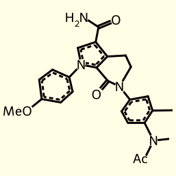 COc1ccc(-n2cc(C(N)=O)c3c2C(=O)N(c2ccc(N(C)C(C)=O)c(C)c2)CC3)cc1